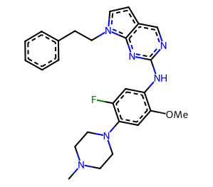 COc1cc(N2CCN(C)CC2)c(F)cc1Nc1ncc2ccn(CCc3ccccc3)c2n1